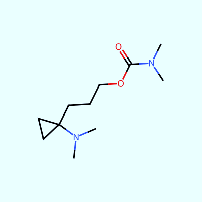 CN(C)C(=O)OCCCC1(N(C)C)CC1